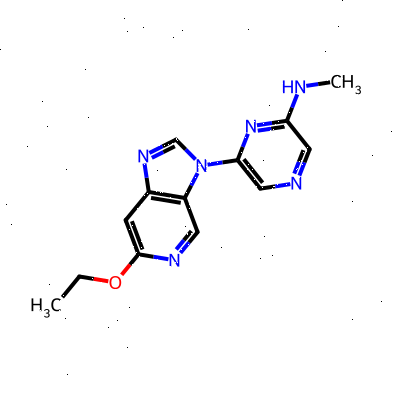 CCOc1cc2ncn(-c3cncc(NC)n3)c2cn1